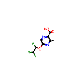 Cc1nc(OC(F)C(F)F)cnc1C(=O)O